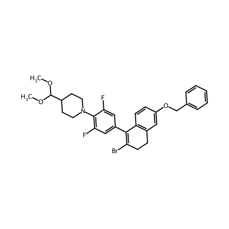 COC(OC)C1CCN(c2c(F)cc(C3=C(Br)CCc4cc(OCc5ccccc5)ccc43)cc2F)CC1